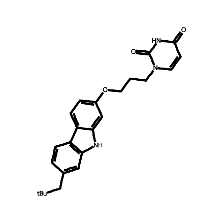 CC(C)(C)Cc1ccc2c(c1)[nH]c1cc(OCCCn3ccc(=O)[nH]c3=O)ccc12